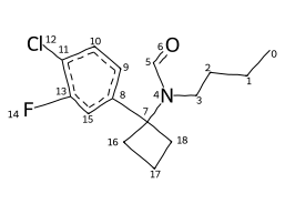 CCCCN(C=O)C1(c2ccc(Cl)c(F)c2)CCC1